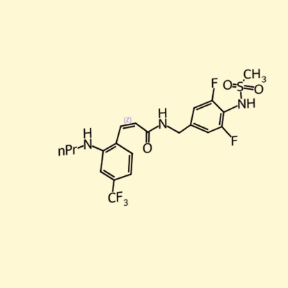 CCCNc1cc(C(F)(F)F)ccc1/C=C\C(=O)NCc1cc(F)c(NS(C)(=O)=O)c(F)c1